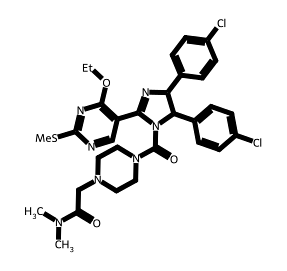 CCOc1nc(SC)ncc1C1=NC(c2ccc(Cl)cc2)C(c2ccc(Cl)cc2)N1C(=O)N1CCN(CC(=O)N(C)C)CC1